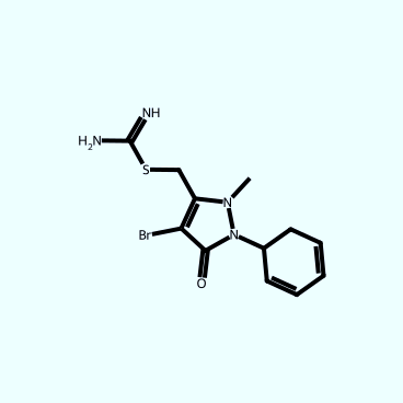 Cn1c(CSC(=N)N)c(Br)c(=O)n1C1C=CC=CC1